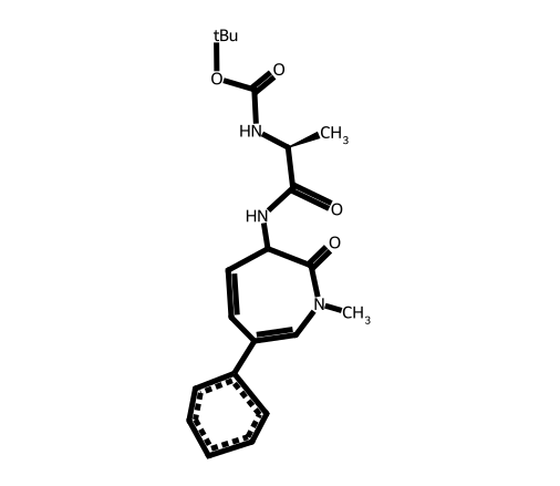 C[C@H](NC(=O)OC(C)(C)C)C(=O)NC1C=CC(c2ccccc2)=CN(C)C1=O